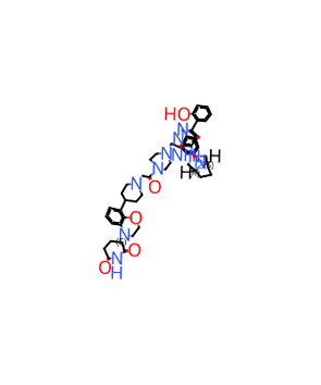 Nc1nnc(-c2ccccc2O)cc1N1C[C@H]2CC[C@@H](C1)N2c1cccc(CN2CCN(C(=O)CN3CCC(c4cccc5c4OCCN5[C@H]4CCC(=O)NC4=O)CC3)CC2)c1